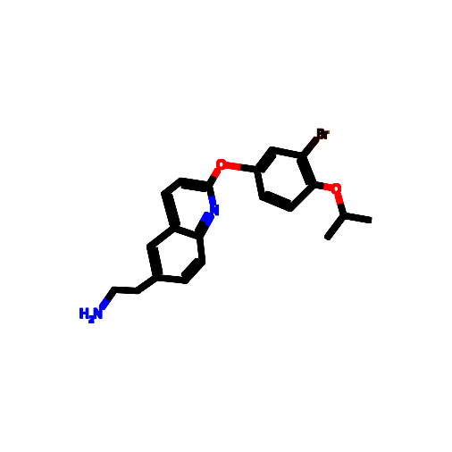 CC(C)Oc1ccc(Oc2ccc3cc(CCN)ccc3n2)cc1Br